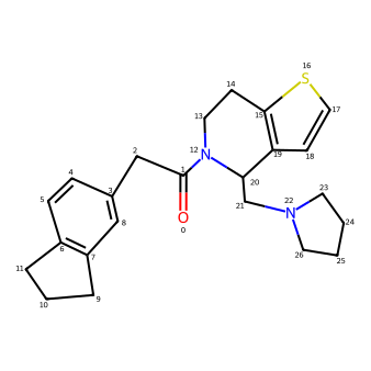 O=C(Cc1ccc2c(c1)CCC2)N1CCc2sccc2C1CN1CCCC1